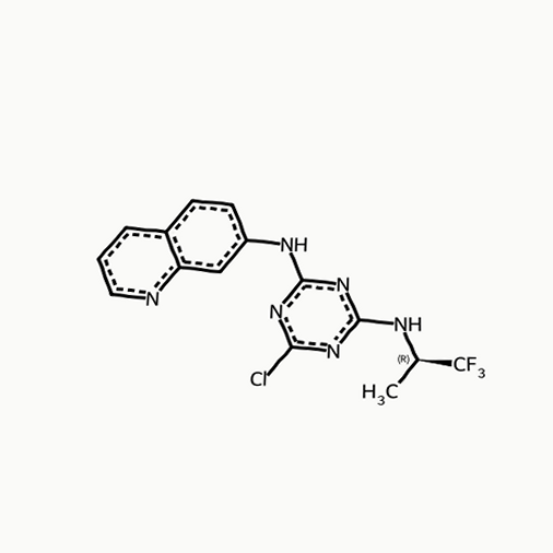 C[C@@H](Nc1nc(Cl)nc(Nc2ccc3cccnc3c2)n1)C(F)(F)F